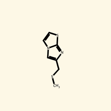 CSCc1cn2ccsc2n1